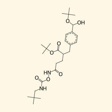 CC(C)(C)CNC(=O)ONC(=O)CCC(Cc1ccc(C(O)OC(C)(C)C)cc1)C(=O)OC(C)(C)C